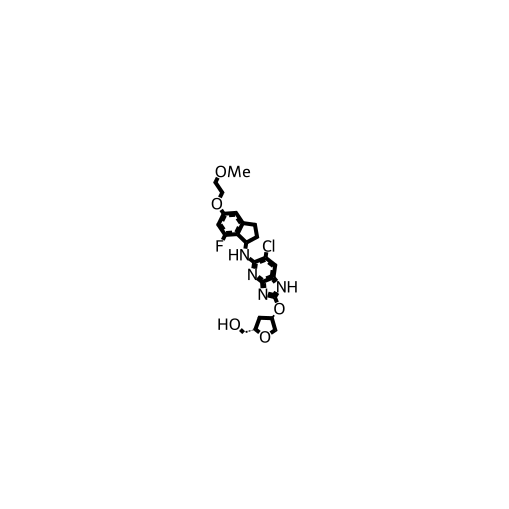 COCCOc1cc(F)c2c(c1)CCC2Nc1nc2nc(O[C@@H]3CO[C@H](CO)C3)[nH]c2cc1Cl